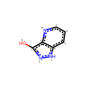 Oc1n[nH]c2cccnc12